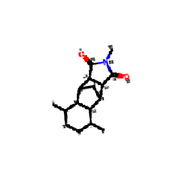 CC1CCC(C)C2C3CC(C4C(=O)N(C)C(=O)C34)C12